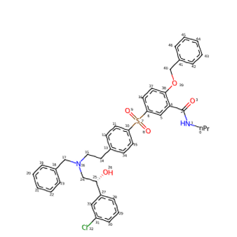 CCCNC(=O)c1cc(S(=O)(=O)c2ccc(CCN(Cc3ccccc3)C[C@H](O)c3cccc(Cl)c3)cc2)ccc1OCc1ccccc1